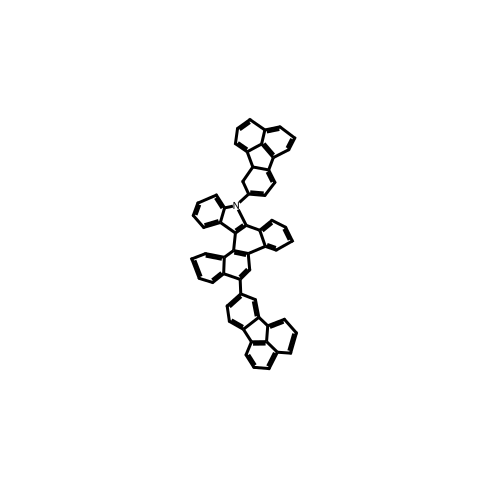 C1=C2c3cccc4cccc(c34)C2CC(n2c3ccccc3c3c4c5ccccc5c(-c5ccc6c(c5)-c5cccc7cccc-6c57)cc4c4ccccc4c32)=C1